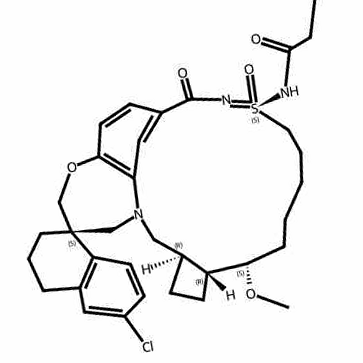 CCC(=O)N[S@]1(=O)=NC(=O)c2ccc3c(c2)N(C[C@@H]2CC[C@H]2[C@@H](OC)CCCCC1)C[C@@]1(CCCc2cc(Cl)ccc21)CO3